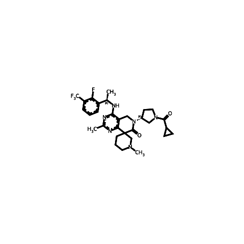 Cc1nc(N[C@H](C)c2cccc(C(F)(F)F)c2F)c2c(n1)C1(CCCN(C)C1)C(=O)N([C@@H]1CCN(C(=O)C3CC3)C1)C2